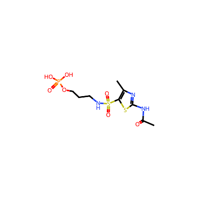 CC(=O)Nc1nc(C)c(S(=O)(=O)NCCCOP(=O)(O)O)s1